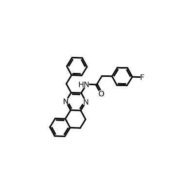 O=C(Cc1ccc(F)cc1)Nc1nc2c(nc1Cc1ccccc1)-c1ccccc1CC2